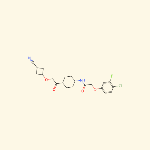 N#CC1CC(OCC(=O)C2CCC(NC(=O)COc3ccc(Cl)c(F)c3)CC2)C1